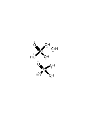 O=P(O)(O)O.O=P(O)(O)O.[CsH]